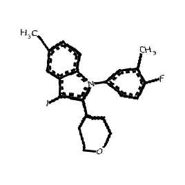 Cc1ccc2c(c1)c(I)c(C1CCOCC1)n2-c1ccc(F)c(C)c1